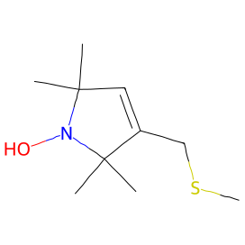 CSCC1=CC(C)(C)N(O)C1(C)C